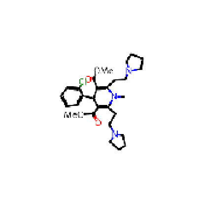 COC(=O)C1=C(CCN2CCCC2)N(C)C(CCN2CCCC2)=C(C(=O)OC)C1c1ccccc1Cl